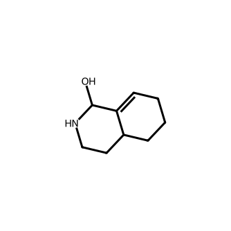 OC1NCCC2CCCC=C21